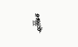 Fc1ccc(CCNC(=S)Nc2nc(-c3cccnc3)cs2)c(F)c1F